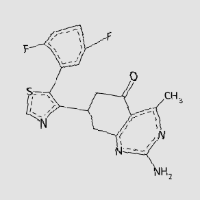 Cc1nc(N)nc2c1C(=O)CC(c1ncsc1-c1cc(F)ccc1F)C2